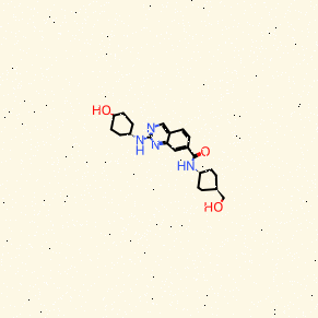 O=C(N[C@H]1CC[C@H](CO)CC1)c1ccc2cnc(N[C@H]3CC[C@H](O)CC3)nc2c1